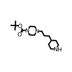 CC(C)(C)OC(=O)N1CCN(CCCC2CCNCC2)CC1